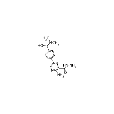 CN(C)C(O)c1ccc(-c2cnc(N)c(C(=O)NN)n2)cc1